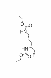 CCOC(=O)NCCCC(CF)NC(=O)OCC